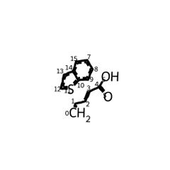 C=CC=CC(=O)O.c1ccc2sccc2c1